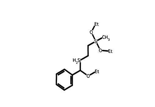 CCOC([SiH2]CC[Si](C)(OCC)OCC)c1ccccc1